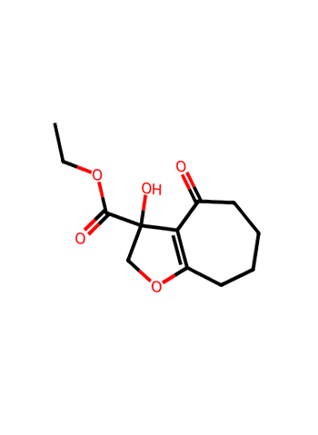 CCOC(=O)C1(O)COC2=C1C(=O)CCCC2